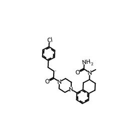 CN(C(N)=O)C1CCc2cccc(N3CCN(C(=O)[CH]Cc4ccc(Cl)cc4)CC3)c2C1